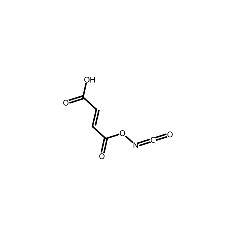 O=C=NOC(=O)/C=C/C(=O)O